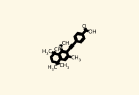 COc1c(C#Cc2ccc(C(=O)O)cc2)c(C)cc2c1C(C)(C)CCC2(C)C